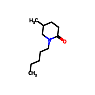 CCCCCN1CC(C)CCC1=O